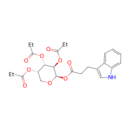 CCC(=O)O[C@@H]1[C@@H](OC(=O)CC)[C@@H](OC(=O)CCc2c[nH]c3ccccc23)OC[C@@H]1OC(=O)CC